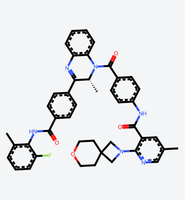 Cc1cnc(N2CC3(CCOCC3)C2)c(C(=O)Nc2ccc(C(=O)N3c4ccccc4N=C(c4ccc(C(=O)Nc5c(C)cccc5F)cc4)[C@H]3C)cc2)c1